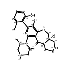 C[C@@H]1CN(C)C[C@H](C)N1c1nc(-c2c(O)cccc2F)c(Cl)c2c1C(=O)N1CCNC[C@@H]1CO2